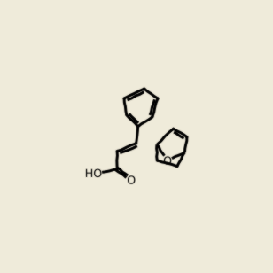 C1=CC2CCC1O2.O=C(O)C=Cc1ccccc1